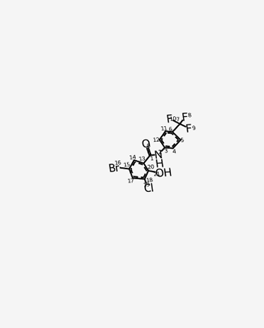 O=C(Nc1ccc(C(F)(F)F)cc1)c1cc(Br)cc(Cl)c1O